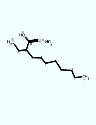 CCCCCCCCC(CC)C(=O)O.Cl